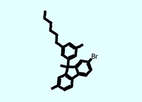 CCCCCCc1cc(C)cc(C2(C)c3cc(C)ccc3-c3ccc(Br)cc32)c1